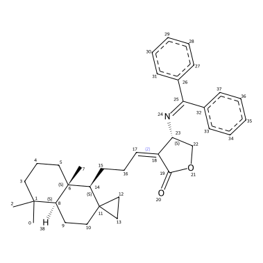 CC1(C)CCC[C@@]2(C)[C@H]1CCC1(CC1)[C@@H]2CC/C=C1\C(=O)OC[C@H]1N=C(c1ccccc1)c1ccccc1